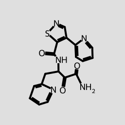 NC(=O)C(=O)C(Cc1ccccn1)NC(=O)c1sncc1-c1ccccn1